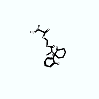 C[C@H](N)C(=O)OCOC(=O)N(C)[C@]1(c2ccccc2Cl)CCCCC1=O